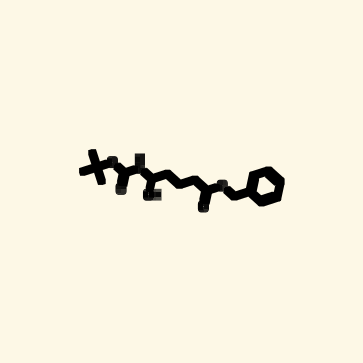 CC(C)(C)OC(=O)NC(O)CCCC(=O)OCc1ccccc1